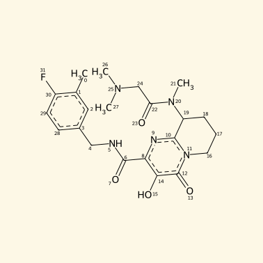 Cc1cc(CNC(=O)c2nc3n(c(=O)c2O)CCCC3N(C)C(=O)CN(C)C)ccc1F